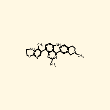 Cc1c(-c2ccc(N)c3c(-c4ccc5c(c4)CN(C)CC5)nc(N)nc23)cnc2c1NCCO2